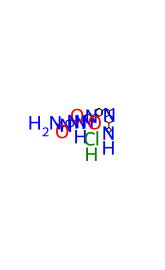 CC(Cc1ccc(-n2ccc(NC(=O)N3CCN(C(=O)C(C)(C)N)CC3)nc2=O)cc1)N1CCC(C2CNC2)CC1.Cl